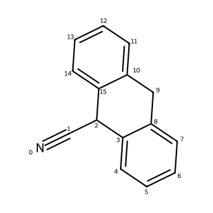 N#CC1c2ccccc2Cc2ccccc21